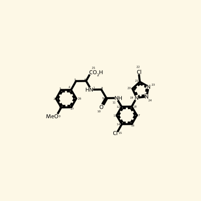 COc1ccc(CC(NCC(=O)Nc2cc(Cl)ccc2-n2cc(Cl)nn2)C(=O)O)cc1